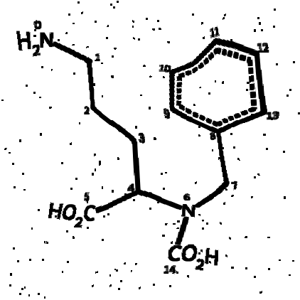 NCCCC(C(=O)O)N(Cc1ccccc1)C(=O)O